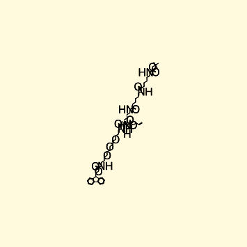 C=CCOC(=O)N[C@@H](CCCCNC(=O)CCCCCNC(=O)CCCCCNC(=O)OC(C)(C)C)C(=O)NCCCOCCOCCOCCCNC(=O)OCC1c2ccccc2-c2ccccc21